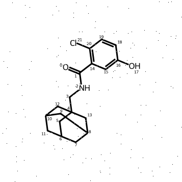 O=C(NCC12CC3CC(CC(C3)C1)C2)c1cc(O)ccc1Cl